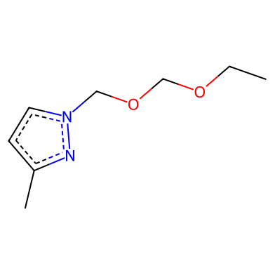 CCOCOCn1ccc(C)n1